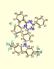 Fc1ccc(-c2cc(-n3c4cc(C(F)(F)F)ccc4c4ccc(C(F)(F)F)cc43)ccc2-c2nc(-c3ccccc3)nc(-c3ccccc3)n2)c(F)c1